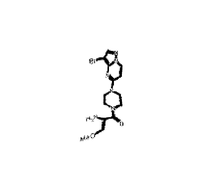 COCC(N)C(=O)N1CCN(c2ccn3ncc(Br)c3n2)CC1